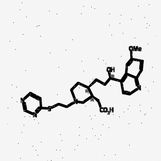 COc1ccc2nccc([C@H](O)CC[C@@H]3CCN(CCSc4ccncn4)C[C@@H]3CC(=O)O)c2c1